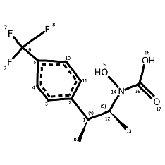 C[C@@H](c1ccc(C(F)(F)F)cc1)[C@H](C)N(O)C(=O)O